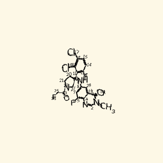 Cn1cnc2c(F)cc(N[C@@]3(c4c(F)ccc(Cl)c4Cl)CCN(C(=O)CF)C3)cc2c1=O